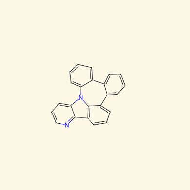 c1ccc2c(c1)-c1ccccc1-n1c3cccnc3c3cccc-2c31